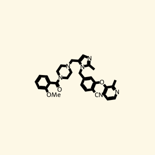 COc1ccccc1C(=O)N1CCN(Cc2cnc(C)n2Cc2ccc(C#N)c(Oc3cccnc3C)c2)CC1